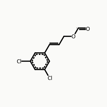 O=[C]OCC=Cc1cc(Cl)cc(Cl)c1